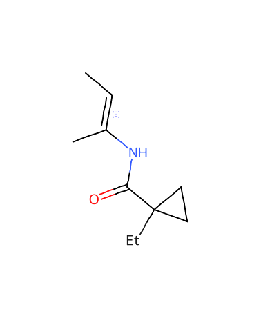 C/C=C(\C)NC(=O)C1(CC)CC1